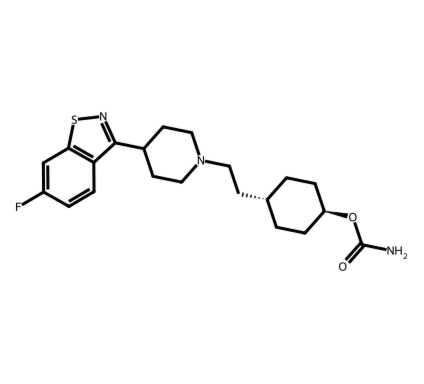 NC(=O)O[C@H]1CC[C@H](CCN2CCC(c3nsc4cc(F)ccc34)CC2)CC1